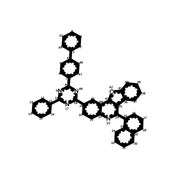 c1ccc(-c2ccc(-c3nc(-c4ccccc4)nc(-c4ccc5nc(-c6cccc7ccccc67)c6c7ccccc7oc6c5c4)n3)cc2)cc1